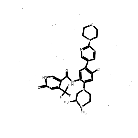 CC1CN(c2cc(Cl)c(-c3cnc(N4CCOCC4)nc3)cc2NC(=O)c2c[nH]c(=O)cc2C(F)(F)F)CCN1C